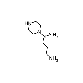 NCCCN([SiH3])N1CCNCC1